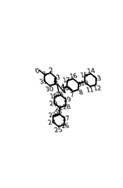 CC1CC=C(N(C2=CCC(C3CCCCC3)CC2)C2CCC(C3=CCCCC3)CC2)CC1